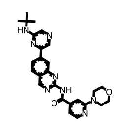 CC(C)(C)Nc1cncc(-c2ccc3cnc(NC(=O)c4ccnc(N5CCOCC5)c4)nc3c2)n1